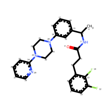 CC(NC(=O)CCc1cccc(F)c1F)c1cccc(N2CCN(c3ccccn3)CC2)c1